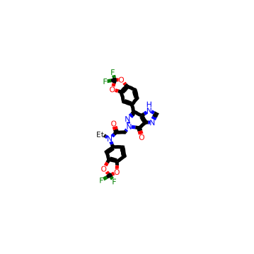 CCN(C(=O)Cn1nc(-c2ccc3c(c2)OC(F)(F)O3)c2[nH]cnc2c1=O)c1ccc2c(c1)OC(F)(F)O2